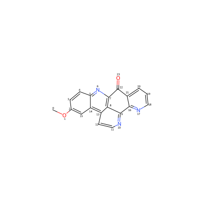 COc1ccc2nc3c4c(nccc4c2c1)-c1ncccc1C3=O